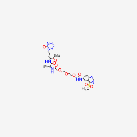 CC(C)[C@H](NC(=O)COCCOCCOCC(=O)Nc1ccc2ncnc(S(C)(=O)=O)c2c1)C(=O)N[C@@H](CCCNC(N)=O)C(=O)C(C)(C)C